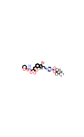 CC(C)(C)OC(=O)N1CCN(CCc2[se]c3c(ccc4cc(C(=O)NO[C@H]5CCCCO5)c(=O)oc43)c2Br)CC1